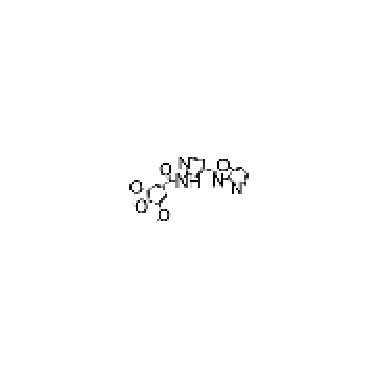 COc1cc(C(=O)Nc2cc(-c3nc4ncccc4o3)ccn2)cc(OC)c1OC